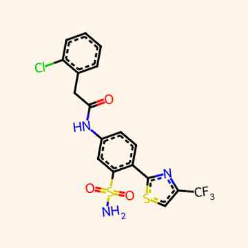 NS(=O)(=O)c1cc(NC(=O)Cc2ccccc2Cl)ccc1-c1nc(C(F)(F)F)cs1